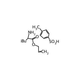 C=CCOC(=O)C(N)C(C)CC.Cc1ccc(S(=O)(=O)O)cc1